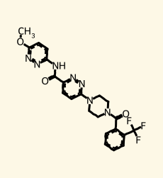 COc1ccc(NC(=O)c2ccc(N3CCN(C(=O)c4ccccc4C(F)(F)F)CC3)nn2)nn1